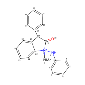 CN[N+]1(Nc2ccccc2)C(=O)C(c2ccccc2)c2ccccc21